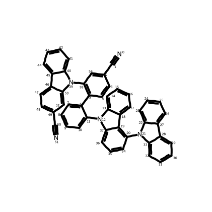 N#Cc1ccc(-c2ccccc2-n2c3ccccc3c3c(-n4c5ccccc5c5ccccc54)cccc32)c(-n2c3ccccc3c3ccc(C#N)cc32)c1